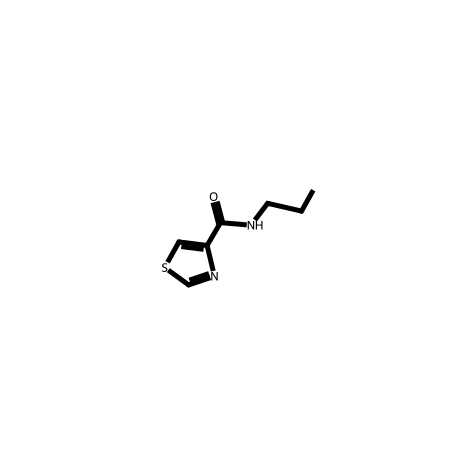 CCCNC(=O)c1cscn1